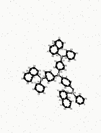 c1ccc(N(Cc2ccc(N(c3ccc(N(c4ccccc4)c4cccc5ccccc45)cc3)c3ccc(N(c4ccccc4)c4cccc5ccccc45)cc3)cc2)c2cccc3ccccc23)cc1